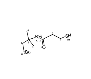 CC(C)(C)CC(C)(C)NC(=O)CCS